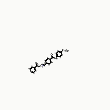 COc1ccc(NC(=O)c2ccc(/C=N/NC(=O)c3ccncc3)cc2)cc1